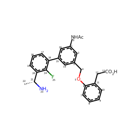 CC(=O)Nc1cc(COc2ccccc2CC(=O)O)cc(-c2cccc([C@@H](C)N)c2F)c1